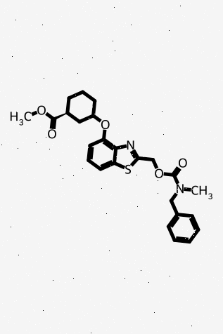 COC(=O)[C@H]1CCCC(Oc2cccc3sc(COC(=O)N(C)Cc4ccccc4)nc23)C1